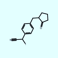 N#CC(I)c1ccc(CC2CCCC2=O)cc1